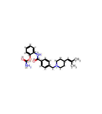 CC(C)=CC1CCN(Cc2ccc(C(=O)Nc3ccccc3OC(N)=O)cc2)CC1